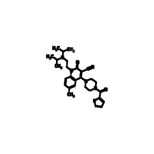 Cc1ccc2c(c1)c(N1CCN(C(=O)c3cccs3)CC1)c(C#N)c(=O)n2CCN(C(C)C)C(C)C